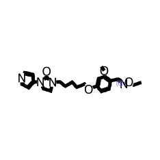 CCO/N=C/c1ccc(OCCCCCN2CCN(c3ccncc3)C2=O)cc1OC